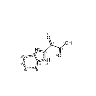 O=C(O)C(=O)c1nc2ncccc2[nH]1